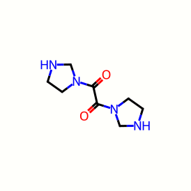 O=C(C(=O)N1CCNC1)N1CCNC1